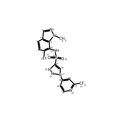 CCc1ccc2cnn(C)c2c1NS(=O)(=O)c1cn(-c2ccnc(C(F)(F)F)c2)nn1